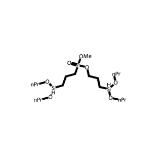 CCCO[SiH](CCCOP(=O)(CCC[SiH](OCCC)OCCC)OC)OCCC